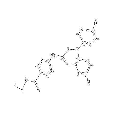 CCOC(=O)c1ccc(NC(=O)CC(c2ccc(Cl)cc2)c2ccc(Cl)cc2)cc1